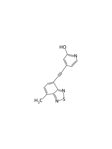 Cc1ccc(C#Cc2ccnc(O)c2)c2nsnc12